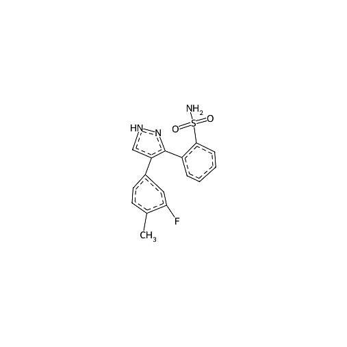 Cc1ccc(-c2c[nH]nc2-c2ccccc2S(N)(=O)=O)cc1F